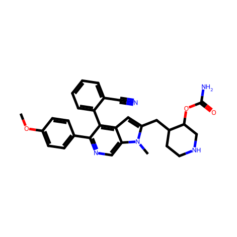 COc1ccc(-c2ncc3c(cc(CC4CCNCC4OC(N)=O)n3C)c2-c2ccccc2C#N)cc1